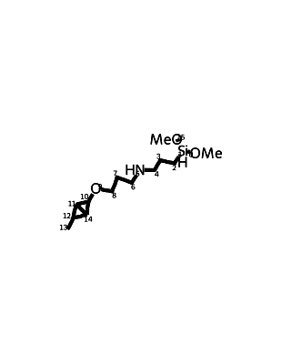 CO[SiH](CCCNCCCOC1C2C(C)C12)OC